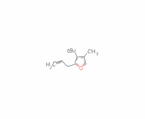 C=CCc1occ(C)c1C(C)(C)C